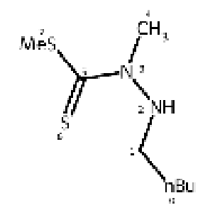 CCCCCNN(C)C(=S)SC